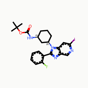 CC(C)(C)OC(=O)N[C@H]1CCC[C@@H](n2c(-c3ccccc3F)nc3cnc(I)cc32)C1